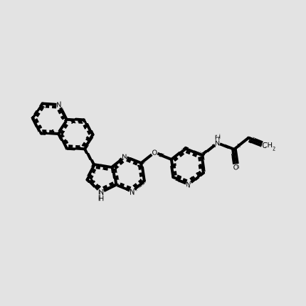 C=CC(=O)Nc1cncc(Oc2cnc3[nH]cc(-c4ccc5ncccc5c4)c3n2)c1